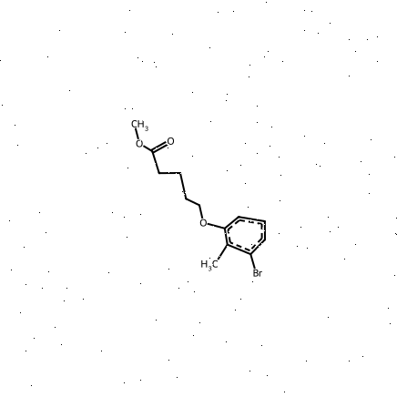 COC(=O)CCCCOc1cccc(Br)c1C